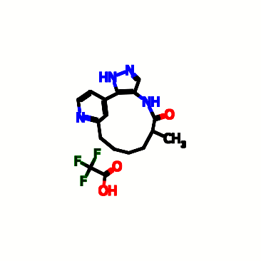 CC1CCCCc2cc(ccn2)-c2[nH]ncc2NC1=O.O=C(O)C(F)(F)F